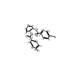 Cc1ccc(C(=O)Oc2[c]cccc2OC(=O)c2ccc(C)cc2)cc1